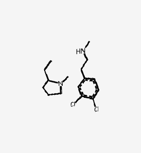 CCC1CCCN1C.CNCCc1ccc(Cl)c(Cl)c1